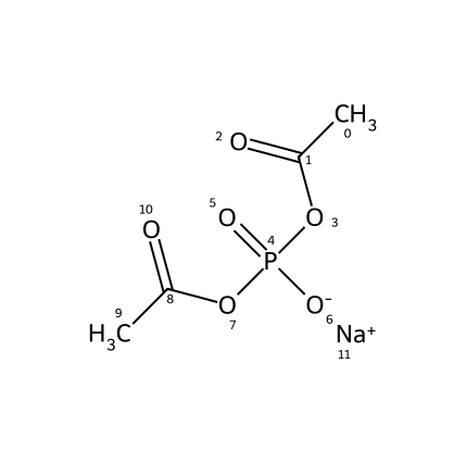 CC(=O)OP(=O)([O-])OC(C)=O.[Na+]